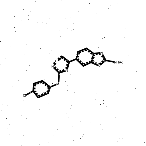 CC(=O)Nc1nc2ccc(-c3ccnc(Sc4ccc(Cl)cc4)n3)cc2s1